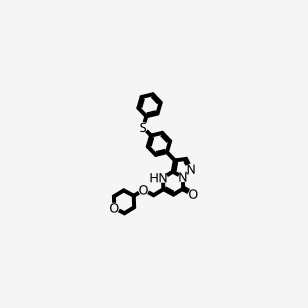 O=c1cc(COC2CCOCC2)[nH]c2c(-c3ccc(Sc4ccccc4)cc3)cnn12